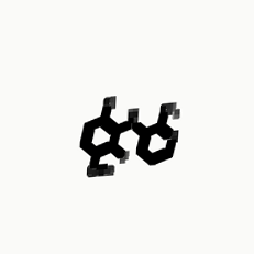 COc1ccc(Cl)c(Nc2cccnc2C(F)(F)F)c1F